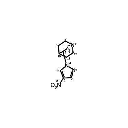 O=[N+]([O-])c1cnn(C2CN3CCC2CC3)c1